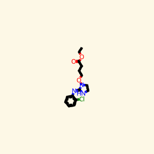 CCOC(=O)CCCON1CCN/C1=N\c1ccccc1Cl